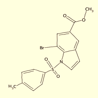 COC(=O)c1cc(Br)c2c(ccn2S(=O)(=O)c2ccc(C)cc2)c1